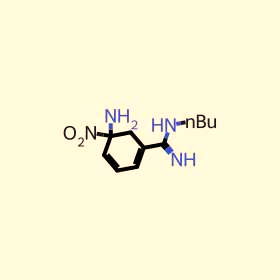 CCCCNC(=N)C1=CC=CC(N)([N+](=O)[O-])C1